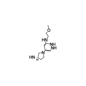 CN[C@H]1CCN(C2=CNNC(NCCOC)=C2)C1